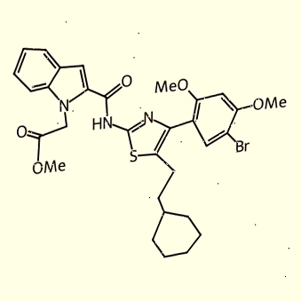 COC(=O)Cn1c(C(=O)Nc2nc(-c3cc(Br)c(OC)cc3OC)c(CCC3CCCCC3)s2)cc2ccccc21